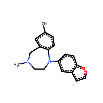 CN1CCN(c2ccc3occc3c2)c2ccc(C#N)cc2C1